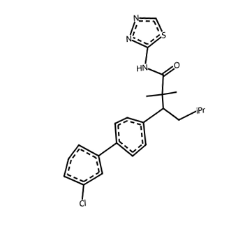 CC(C)CC(c1ccc(-c2cccc(Cl)c2)cc1)C(C)(C)C(=O)Nc1nncs1